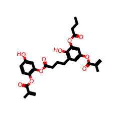 C=C(C)C(=O)Oc1cc(CCCC(=O)Oc2cc(O)ccc2OC(=O)C(=C)C)c(O)c(OC(=O)CCC)c1